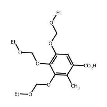 CCOCOc1cc(C(=O)O)c(C)c(OCOCC)c1OCOCC